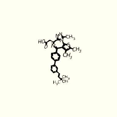 Cc1sc2c(c1C)C(c1ccc(-c3cccc(C=CC(C)(C)O)c3)cc1)=N[C@@H](CC(=O)O)c1nnc(C)n1-2